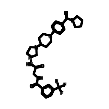 O=C(CNC(=O)c1cccc(C(F)(F)F)c1)N[C@@H]1CCN(C2CCN(c3ccc(C(=O)N4CCCC4)cc3)CC2)C1